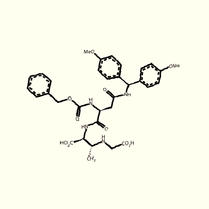 COc1ccc(C(NC(=O)C[C@H](NC(=O)OCc2ccccc2)C(=O)N[C@H](C(=O)O)[C@@H](C)NCC(=O)O)c2ccc(OC)cc2)cc1